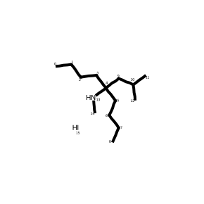 CCCCC(CCCC)(CC(C)C)NC.I